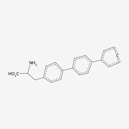 NC(Cc1ccc(-c2ccc(-c3ccccc3)cc2)cc1)C(=O)O